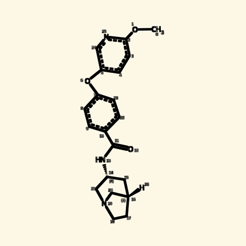 COc1ccc(Oc2ccc(C(=O)N[C@@H]3C[C@@H]4CCN(C4)C3)cc2)cn1